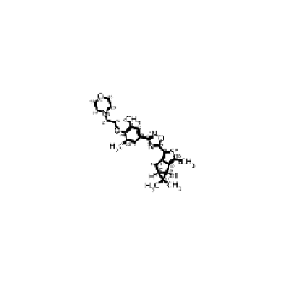 Cc1cc(-c2noc(-c3sc(C)c4c3C[C@@H]3[C@H]4C3(C)C)n2)cc(C)c1OCCN1CCOCC1